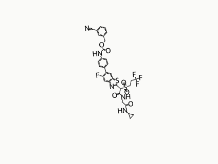 N#Cc1cccc(COC(=O)Nc2ccc(-c3cc4sc(C(C(=O)NCC(=O)NC5CC5)S(=O)(=O)CCC(F)(F)F)nc4cc3F)cc2)c1